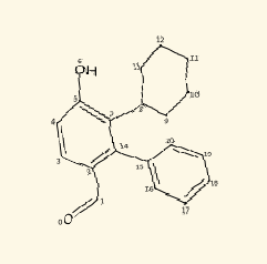 O=Cc1ccc(O)c(C2CCCCC2)c1-c1ccccc1